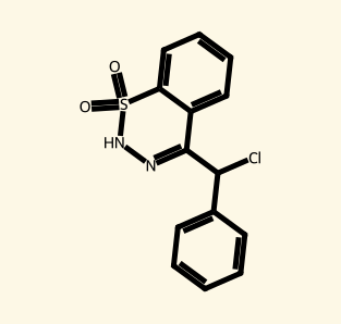 O=S1(=O)NN=C(C(Cl)c2ccccc2)c2ccccc21